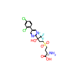 N[C@@H](CCS(=O)(=O)CCC(O)(c1ncc(-c2ccc(Cl)cc2Cl)cn1)C(F)(F)F)C(=O)O